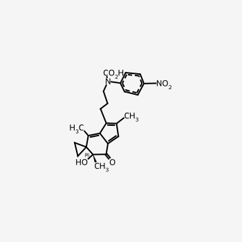 CC1=C(CCCN(C(=O)O)c2ccc([N+](=O)[O-])cc2)C2=C(C)C3(CC3)[C@@](C)(O)C(=O)C2=C1